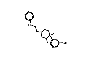 C[C@H]1CN(CCNc2ccccc2)CC[C@]1(C)c1cccc(O)c1